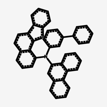 c1ccc(-c2cccc(N(c3cc4ccccc4c4ccccc34)c3cccc4ccc5c6ccccc6sc5c34)c2)cc1